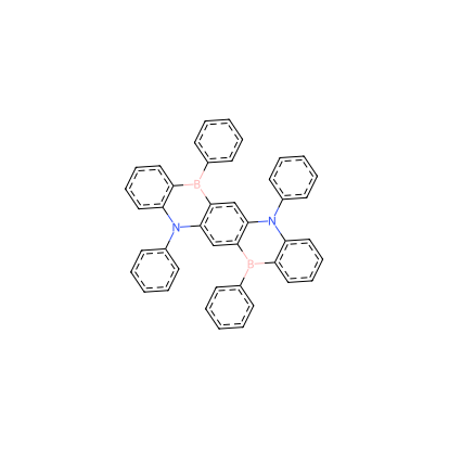 c1ccc(B2c3ccccc3N(c3ccccc3)c3cc4c(cc32)N(c2ccccc2)c2ccccc2B4c2ccccc2)cc1